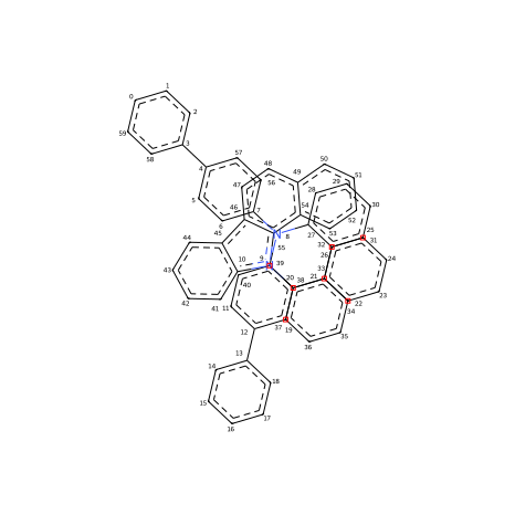 c1ccc(-c2ccc(N(c3ccc(-c4ccccc4)cc3-c3ccccc3)c3ccccc3-c3ccccc3-n3c4ccccc4c4ccc5ccccc5c43)cc2)cc1